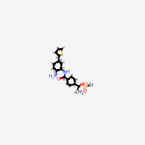 CC[PH](=O)OC(C)c1ccc(C(=O)Nc2cc(-c3cccs3)ccc2N)cc1